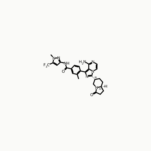 Cc1cc(C(=O)Nc2cc(C(F)(F)F)n(C)n2)ccc1-c1nc([C@@H]2CC[C@H]3CCC(=O)N3C2)n2ccnc(N)c12